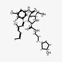 C\C=C/C=C(Cl)\C=C\[C@H]1[C@H](C(=O)NCCC[C@@H]2CC[C@H](O)C2)N[C@H](CC(C)(C)C)[C@]12C(=O)Nc1cc(Cl)c(F)cc12